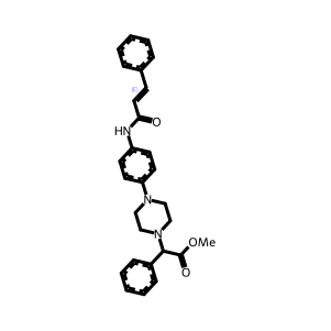 COC(=O)C(c1ccccc1)N1CCN(c2ccc(NC(=O)/C=C/c3ccccc3)cc2)CC1